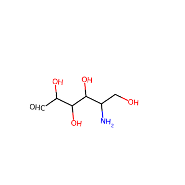 NC(CO)C(O)C(O)C(O)C=O